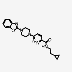 O=C(NCCC1CC1)c1ccc(N2CCN(c3nc4ccccc4o3)CC2)nn1